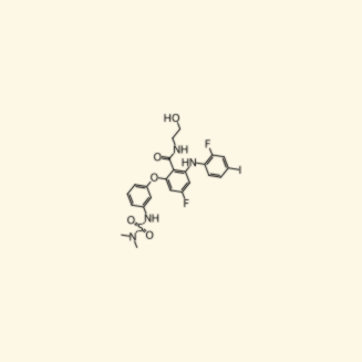 CN(C)S(=O)(=O)Nc1cccc(Oc2cc(F)cc(Nc3ccc(I)cc3F)c2C(=O)NCCO)c1